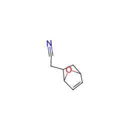 N#CCC1CC2C=CC1O2